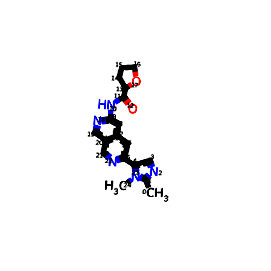 Cc1ncc(-c2cc3cc(NC(=O)C4CCCO4)ncc3cn2)n1C